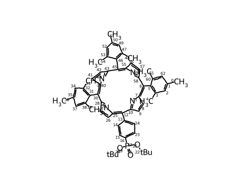 Cc1cc(C)c(C2=C3C=CC(=N3)C(c3ccc(P(=O)(OC(C)(C)C)OC(C)(C)C)cc3)=C3C=CC(=N3)C(c3c(C)cc(C)cc3C)=C3C=CC(=N3)C(c3c(C)cc(C)cc3C)=C3C=CC2=N3)c(C)c1